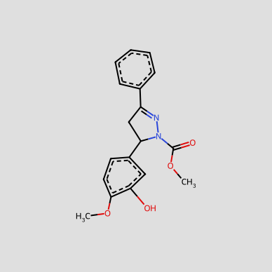 COC(=O)N1N=C(c2ccccc2)CC1c1ccc(OC)c(O)c1